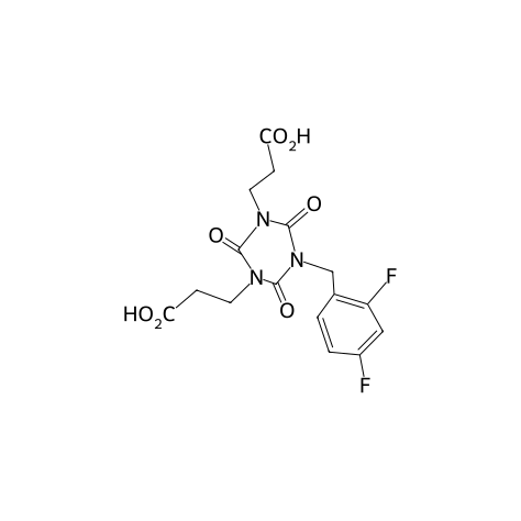 O=C(O)CCn1c(=O)n(CCC(=O)O)c(=O)n(Cc2ccc(F)cc2F)c1=O